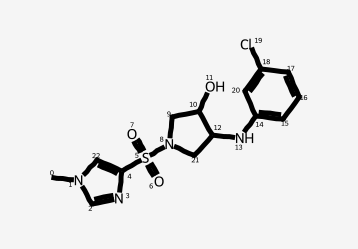 Cn1cnc(S(=O)(=O)N2CC(O)C(Nc3cccc(Cl)c3)C2)c1